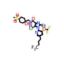 CCc1nc(C(=O)NCC2(O)CCC(S(C)(=O)=O)CC2)c(Cl)n1-c1ncc(CCCC(F)(F)F)cc1OC(F)F